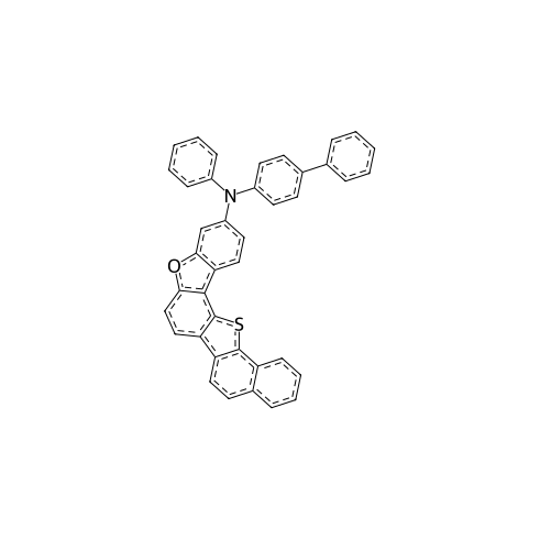 c1ccc(-c2ccc(N(c3ccccc3)c3ccc4c(c3)oc3ccc5c6ccc7ccccc7c6sc5c34)cc2)cc1